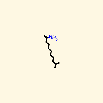 C=C(N)CCCCCCCC(C)C